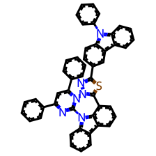 c1ccc(-c2cc(-c3ccccc3)nc(-n3c4ccccc4c4cccc(-c5nnc(-c6ccc7c(c6)c6ccccc6n7-c6ccccc6)s5)c43)n2)cc1